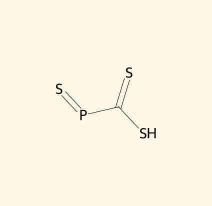 S=PC(=S)S